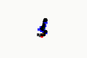 CC(=O)c1ccc(-c2nccc3[nH]c(-c4n[nH]c5ncc(-c6cncc(CNCc7ccccc7)c6)c(F)c45)nc23)s1